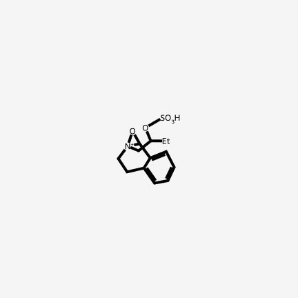 CCC(C[N+]12CCc3ccccc3C1O2)OS(=O)(=O)O